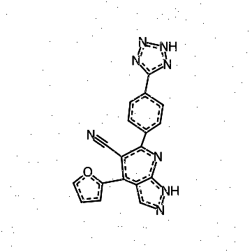 N#Cc1c(-c2ccc(-c3nn[nH]n3)cc2)nc2[nH]ncc2c1-c1ccco1